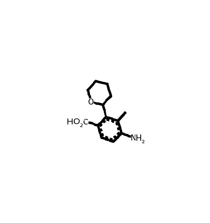 Cc1c(N)ccc(C(=O)O)c1C1CCCCO1